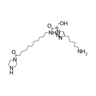 NCCCCCc1cn([C@@H](CO)C(=O)NCCCCCCCCCCC(=O)N2CCNCC2)nn1